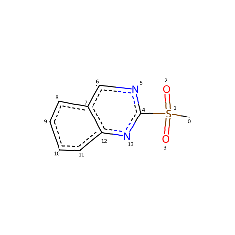 CS(=O)(=O)c1n[c]c2ccccc2n1